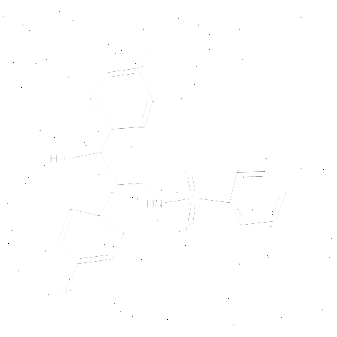 CC(c1ccc(Cl)cc1)C(CNS(=O)(=O)c1ccccc1)c1ccc(Cl)cc1